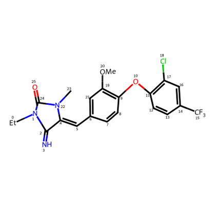 CCN1C(=N)C(=Cc2ccc(Oc3ccc(C(F)(F)F)cc3Cl)c(OC)c2)N(C)C1=O